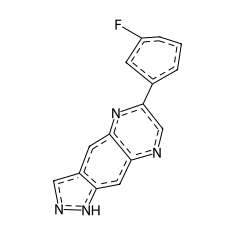 Fc1cccc(-c2cnc3cc4[nH]ncc4cc3n2)c1